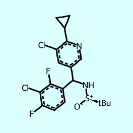 CC(C)(C)[S@@+]([O-])NC(c1cnc(C2CC2)c(Cl)c1)c1ccc(F)c(Cl)c1F